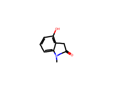 CN1C(=O)Cc2c(O)cccc21